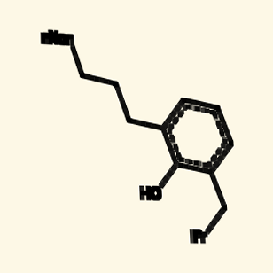 CCCCCCCCCCCCc1cccc(CC(C)C)c1O